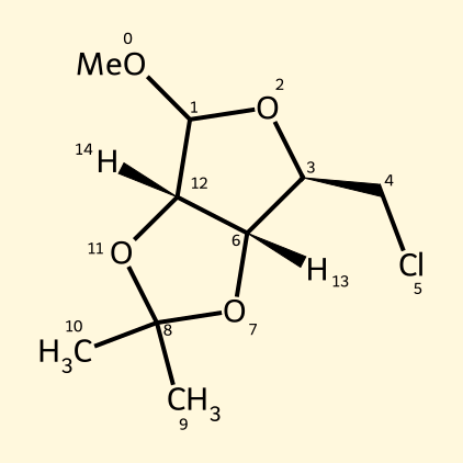 COC1O[C@@H](CCl)[C@@H]2OC(C)(C)O[C@H]12